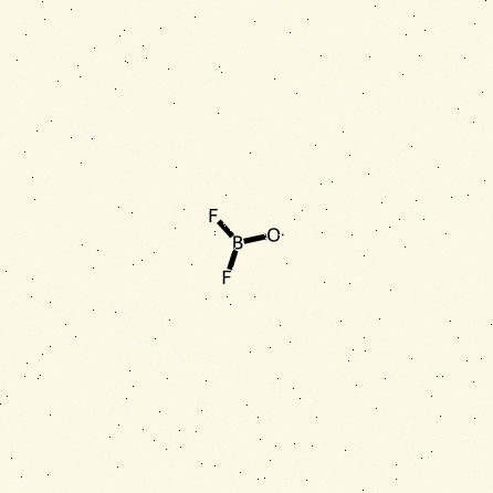 [O]B(F)F